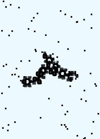 COC1CCC([C@@H]2CCN(C(=O)[C@H]3CC[C@H]([C@H](N)CF)CC3)[C@@H]2C(=O)Nc2ccc3oc(C(=O)OCC4CCOCC4)cc3c2)CC1